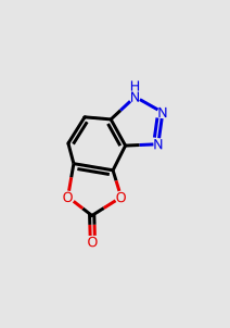 O=c1oc2ccc3[nH]nnc3c2o1